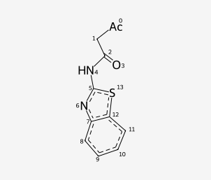 CC(=O)CC(=O)Nc1nc2ccccc2s1